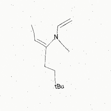 C=CN(C)/C(=C\C)CCC(C)(C)C